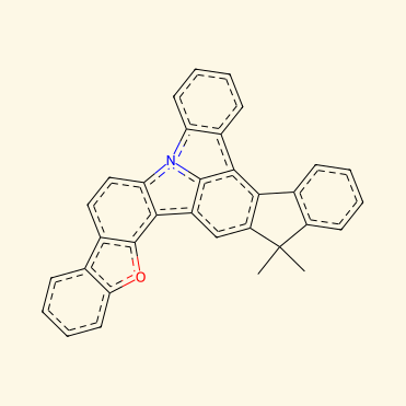 CC1(C)c2ccccc2-c2c1cc1c3c4oc5ccccc5c4ccc3n3c4ccccc4c2c13